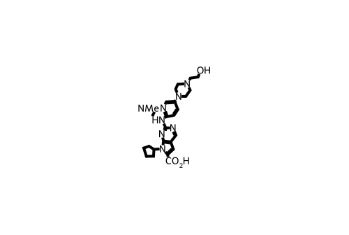 CNC.O=C(O)c1cc2cnc(Nc3ccc(N4CCN(CCO)CC4)cn3)nc2n1C1CCCC1